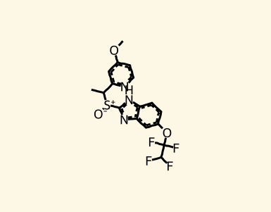 COc1ccnc(C(C)[S+]([O-])c2nc3cc(OC(F)(F)C(F)F)ccc3[nH]2)c1